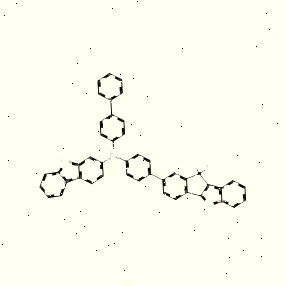 CC1(C)c2cc(-c3ccc(N(c4ccc(-c5ccccc5)cc4)c4ccc5c(c4)oc4ccccc45)cc3)ccc2-c2sc3ccccc3c21